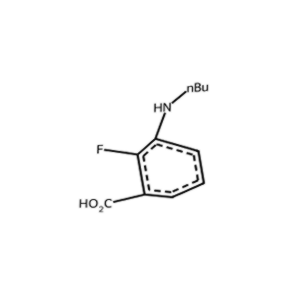 CCCCNc1cccc(C(=O)O)c1F